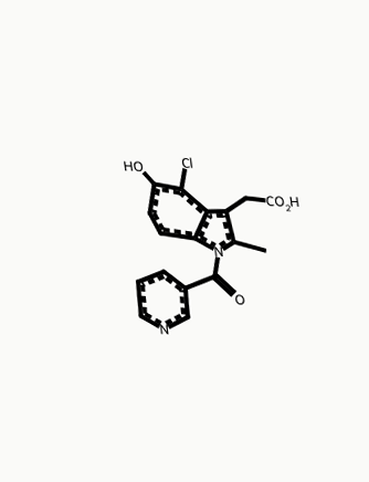 Cc1c(CC(=O)O)c2c(Cl)c(O)ccc2n1C(=O)c1cccnc1